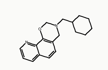 c1cnc2c3c(ccc2c1)CN(CC1CCCCC1)CO3